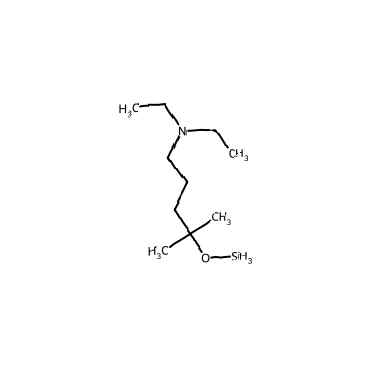 CCN(CC)CCCC(C)(C)O[SiH3]